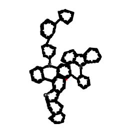 c1ccc(-c2cccc(-c3ccc(N(c4ccc(-c5ccccc5-n5c6ccccc6c6ccccc65)cc4)c4ccccc4-c4cccc5c4oc4cc6ccccc6cc45)cc3)c2)cc1